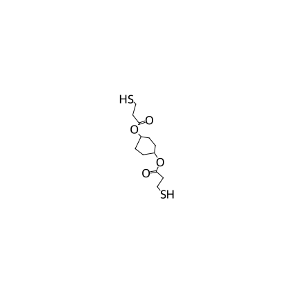 O=C(CCS)OC1CCC(OC(=O)CCS)CC1